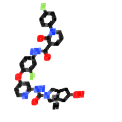 O=C(Nc1ccc(Oc2ccnc(NC(=O)N3CC4CC(O)C[C@H]4C3)c2)c(F)c1)c1cccn(-c2ccc(F)cc2)c1=O